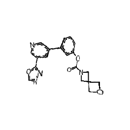 O=C(Oc1cccc(-c2cncc(-c3nnco3)c2)c1)N1CC2(COC2)C1